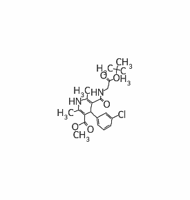 COC(=O)C1=C(C)NC(C)=C(C(=O)NCC(=O)OC(C)(C)C)C1c1cccc(Cl)c1